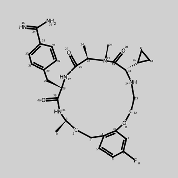 C[C@@H]1CCc2ccc(F)cc2OCCN[C@@H](C2CC2)C(=O)N(C)[C@H](C)C(=O)N[C@H](Cc2ccc(C(=N)N)cc2)C(=O)N1